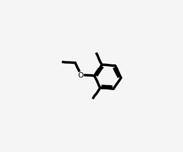 CCOc1c(C)cccc1C